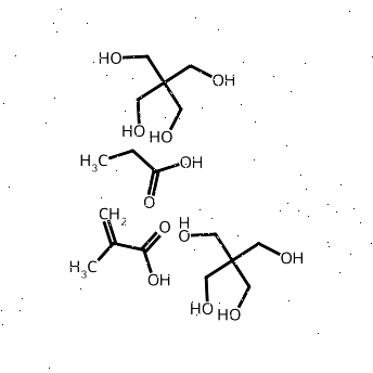 C=C(C)C(=O)O.CCC(=O)O.OCC(CO)(CO)CO.OCC(CO)(CO)CO